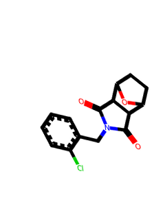 O=C1C2C3CCC(O3)C2C(=O)N1Cc1ccccc1Cl